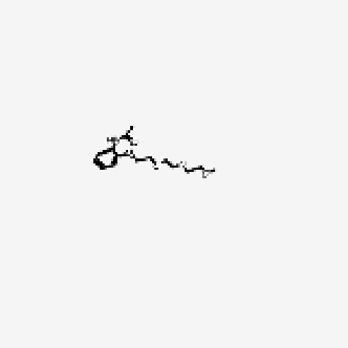 COCCOCCOCCOc1ccccc1NC(C)=O